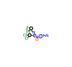 CN(C)CCN1CCN(C(=O)N2CC(c3ccc(Cl)c(Cl)c3)C(N(C)Cc3cccc(F)c3C(F)(F)F)C2)CC1